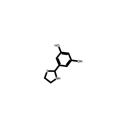 Oc1cc(O)cc(C2NCCS2)c1